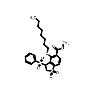 CCCCCCCCOc1c(C(=O)OC)ccc2c1C(S(=O)(=O)c1ccccc1)CS2(=O)=O